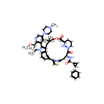 CCn1c(-c2cc(N3CCN(C)CC3)cnc2[C@H](C)OC)c2c3cc(ccc31)-c1csc(n1)C[C@H](NC(=O)[C@H]1C[C@@H]1c1ccccc1)C(=O)N1CCC[C@H](N1)C(=O)OCC(C)(C)C2